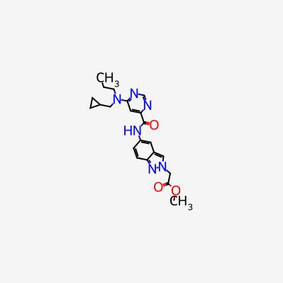 CCCN(CC1CC1)c1cc(C(=O)Nc2ccc3nn(CC(=O)OC)cc3c2)ncn1